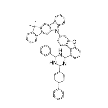 CC1(C)c2ccccc2-c2cc3c(cc21)c1ccccc1n3-c1ccc2c(c1)oc1cccc(C3=NC(C4=CCC(c5ccccc5)C=C4)NC(c4ccccc4)N3)c12